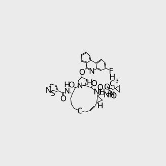 CC1(S(=O)(=O)NC(=O)[C@@]23C[C@H]2/C=C\CCCCC[C@H](NC(=O)c2ccns2)C(=O)N2C[C@H](Oc4nc5cc(F)ccc5c5ccccc45)C[C@H]2C(=O)N3)CC1